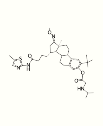 CO/N=C1\C[C@@H](CCCC(=O)Nc2ncc(C)s2)C2C3CCc4cc(OC(=O)CNC(C)C)c(C(C)(C)C)cc4C3CC[C@]12C